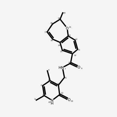 Cc1cc(C)c(CNC(=O)c2ccc3c(c2)C=CCC(C)O3)c(=O)[nH]1